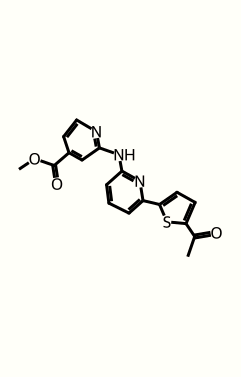 COC(=O)c1ccnc(Nc2cccc(-c3ccc(C(C)=O)s3)n2)c1